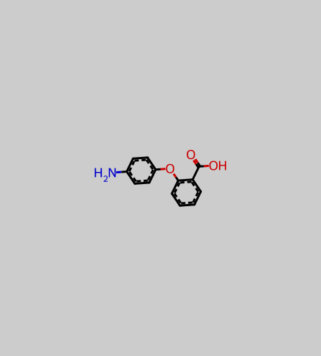 Nc1ccc(Oc2ccccc2C(=O)O)cc1